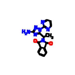 CC(c1nc(N)nn1-c1ncccn1)N1C(=O)c2ccccc2C1=O